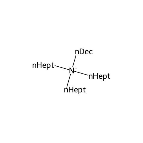 CCCCCCCCCC[N+](CCCCCCC)(CCCCCCC)CCCCCCC